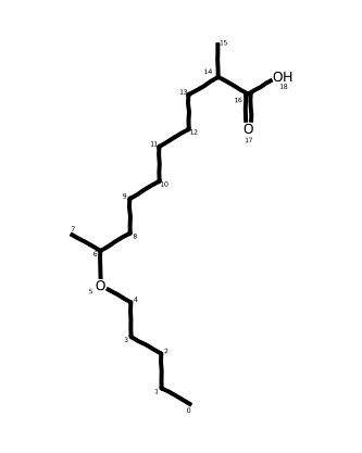 CCCCCOC(C)CCCCCCC(C)C(=O)O